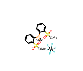 COS(=O)(=O)c1ccccc1[PH+](SC)c1ccccc1S(=O)(=O)OC.[F][Sb-]([F])([F])([F])([F])[F]